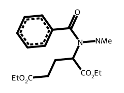 CCOC(=O)CCC(C(=O)OCC)N(NC)C(=O)c1ccccc1